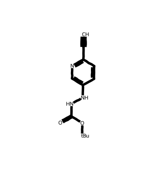 C#Cc1ccc(NNC(=O)OC(C)(C)C)cn1